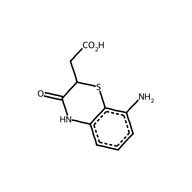 Nc1cccc2c1SC(CC(=O)O)C(=O)N2